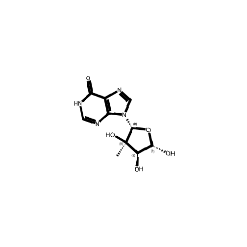 C[C@@]1(O)[C@H](O)[C@@H](O)O[C@H]1n1cnc2c(=O)[nH]cnc21